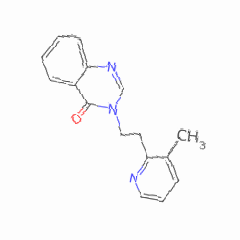 Cc1cccnc1CCn1cnc2ccccc2c1=O